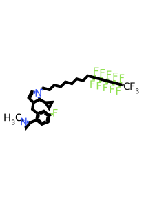 CN1CC1c1ccc(F)cc1CC1C=CN(CCCCCCCCCC(F)(F)C(F)(F)C(F)(F)C(F)(F)C(F)(F)C(F)(F)F)C1C1CC1